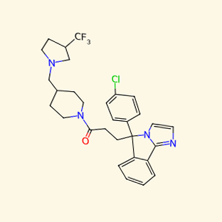 O=C(CCC1(c2ccc(Cl)cc2)c2ccccc2-c2nccn21)N1CCC(CN2CCC(C(F)(F)F)C2)CC1